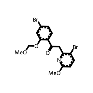 COCOc1cc(Br)ccc1C(=O)Cc1nc(OC)ccc1Br